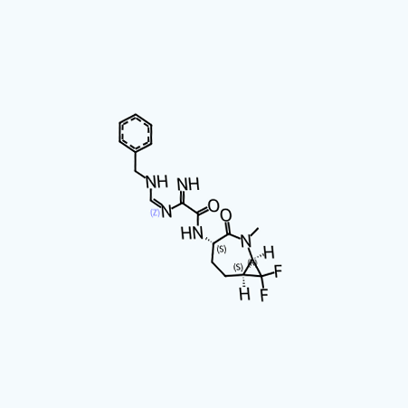 CN1C(=O)[C@@H](NC(=O)C(=N)/N=C\NCc2ccccc2)CC[C@H]2[C@@H]1C2(F)F